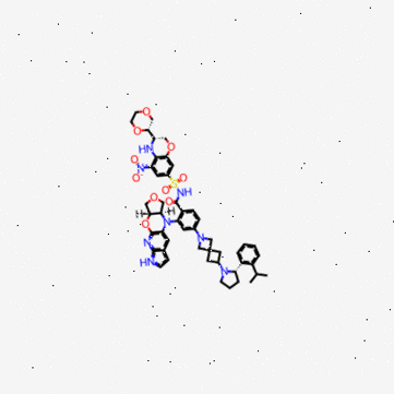 CC(C)c1ccccc1[C@@H]1CCCN1C1CC2(C1)CN(c1ccc(C(=O)NS(=O)(=O)c3cc4c(c([N+](=O)[O-])c3)N[C@H]([C@H]3COCCO3)CO4)c(N3c4cc5cc[nH]c5nc4O[C@@H]4COC[C@H]43)c1)C2